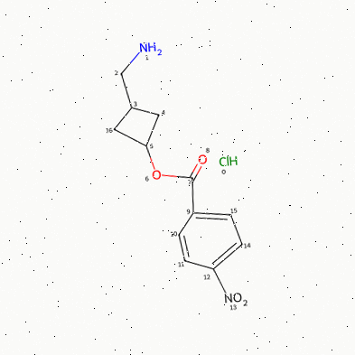 Cl.NCC1CC(OC(=O)c2ccc([N+](=O)[O-])cc2)C1